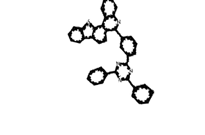 c1ccc(-c2nc(-c3ccccc3)nc(-c3cccc(-c4nc5ccccc5c5c4ccc4c6ccccc6sc45)c3)n2)cc1